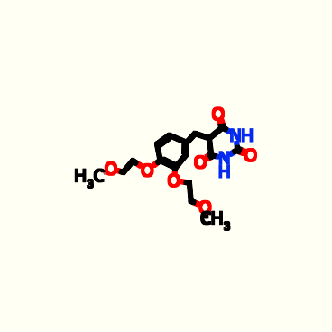 COCCOc1ccc(CC2C(=O)NC(=O)NC2=O)cc1OCCOC